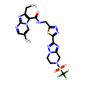 CCc1nc2ncc(C)cn2c1C(=O)NCc1nnc(-c2nc3n(n2)CCN(S(=O)(=O)C(F)(F)F)C3)s1